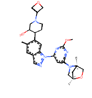 COc1nc(N2C[C@H]3C[C@@H]2CO3)cc(-n2ncc3cc(C)c(C4CCN(C5COC5)CC4O)cc32)n1